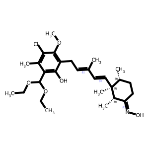 CCOC(OCC)c1c(C)c(Cl)c(OC)c(C/C=C(C)/C=C/[C@@]2(C)[C@H](C)CC/C(=N\O)[C@@H]2C)c1O